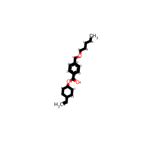 C=CC1CCC(OC(=O)c2ccc(COCCCCC)cc2)CC1